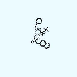 CC(C)(C)OC(=O)N[C@@H](COCc1ccccc1)CS(=O)(=O)Cc1ccc2sccc2c1